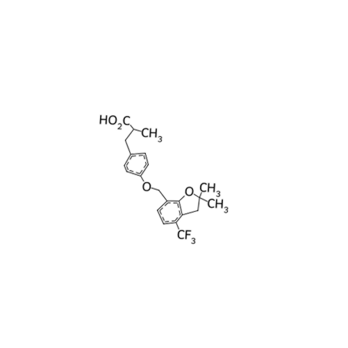 CC(Cc1ccc(OCc2ccc(C(F)(F)F)c3c2OC(C)(C)C3)cc1)C(=O)O